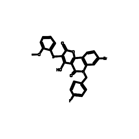 COc1ccccc1Sc1c(O)c2c(=O)n(Cc3ccc(F)cc3)c3cc(Br)ccc3c2oc1=O